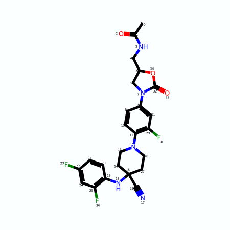 CC(=O)NCC1CN(c2ccc(N3CCC(C#N)(Nc4ccc(F)cc4F)CC3)c(F)c2)C(=O)O1